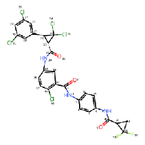 O=C(Nc1ccc(NC(=O)C2CC2(F)F)cc1)c1cc(NC(=O)[C@@H]2[C@@H](c3cc(Cl)cc(Cl)c3)C2(Cl)Cl)ccc1Cl